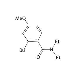 CCC(C)c1cc(OC)ccc1C(=O)N(CC)CC